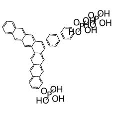 O=P(O)(O)O.O=P(O)(O)O.O=P(O)(O)O.c1ccc2cc3cc4c(ccc5cc6cc7ccccc7cc6cc54)cc3cc2c1.c1ccccc1.c1ccccc1